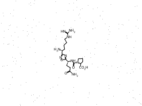 N=C(N)NCCCC[C@H](N)c1noc([C@H](CCC(N)=O)NC(=O)N2CCCC2C(=O)O)n1